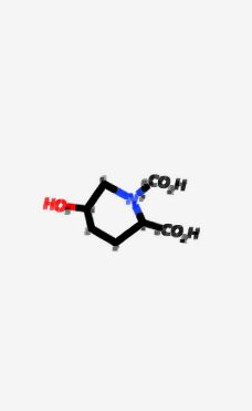 O=C(O)C1CCC(O)CN1C(=O)O